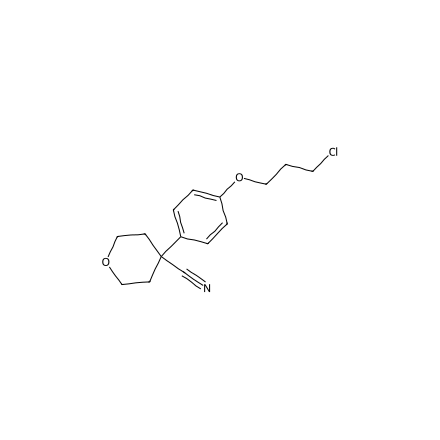 N#CC1(c2ccc(OCCCCl)cc2)CCOCC1